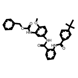 COc1ccc(NC(=O)c2ccccc2NC(=O)c2ccc(C(C)(C)C)cc2)cc1NC(=O)OCc1ccccc1